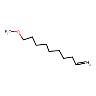 C=CCCCCCCCCOC(F)(F)F